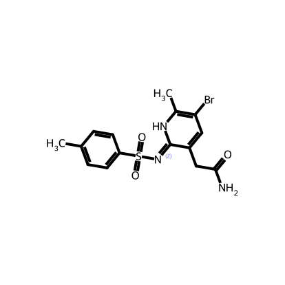 Cc1ccc(S(=O)(=O)/N=c2\[nH]c(C)c(Br)cc2CC(N)=O)cc1